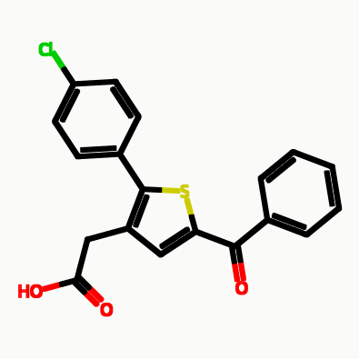 O=C(O)Cc1cc(C(=O)c2ccccc2)sc1-c1ccc(Cl)cc1